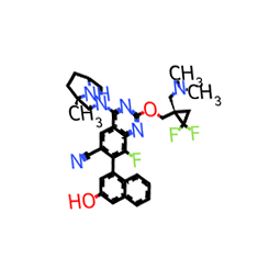 CN(C)C[C@@]1(COc2nc(N3CC4CC[C@@](C)(C3)N4)c3cc(C#N)c(-c4cc(O)cc5ccccc45)c(F)c3n2)CC1(F)F